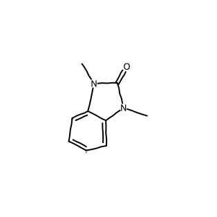 Cn1c(=O)n(C)c2cc[c]cc21